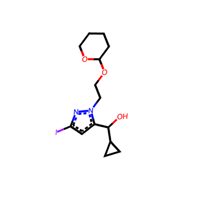 OC(c1cc(I)nn1CCOC1CCCCO1)C1CC1